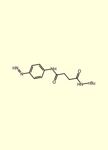 CCCCNC(=O)CCC(=O)Nc1ccc(N=N)cc1